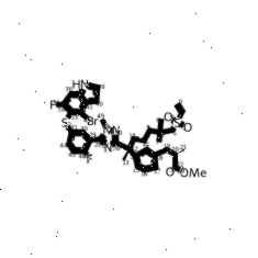 C=CS(=O)(=O)CC(C)(C)CCC[C@](C)(c1cccc(C[C@H](C)C(=O)OC)c1)c1nc(-c2cc(Sc3c(F)cc4[nH]ccc4c3Br)ccc2F)n(C)n1